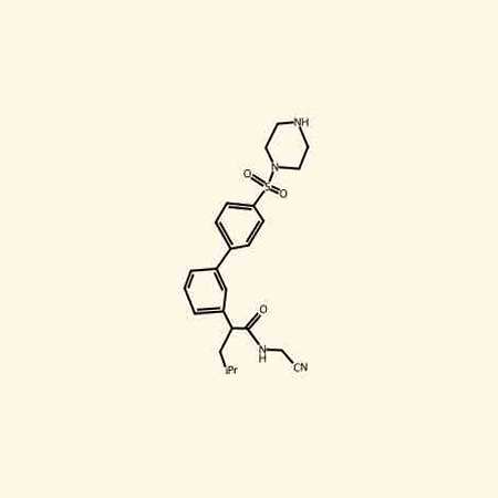 CC(C)CC(C(=O)NCC#N)c1cccc(-c2ccc(S(=O)(=O)N3CCNCC3)cc2)c1